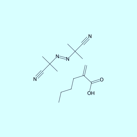 C=C(CCCC)C(=O)O.CC(C)(C#N)N=NC(C)(C)C#N